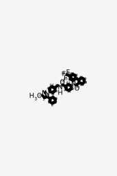 Cc1cc(-c2ccccc2)n(-c2ccc(CNC(=O)c3cccc(NC(=O)c4ccccc4-c4ccc(C(F)(F)F)cc4)c3)cc2)n1